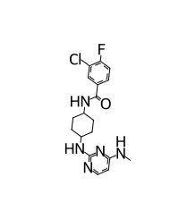 CNc1ccnc(NC2CCC(NC(=O)c3ccc(F)c(Cl)c3)CC2)n1